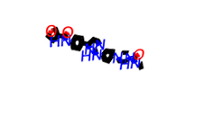 CCNC(=O)N1CCN(c2ccc(Nc3nccc(-c4ccc(NC(=O)C5CCOC5)cc4)n3)cc2)CC1